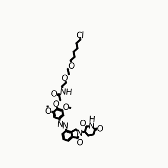 COc1cc(/N=N/c2cccc3c2CN(C2CCC(=O)NC2=O)C3=O)cc(OC)c1OCC(=O)NCCOCCOCCCCCCCl